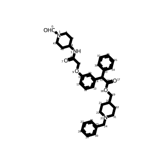 O=CN1CCC(NC(=O)COc2cccc(C(C(=O)OCC3CCN(Cc4ccccc4)CC3)c3ccccc3)c2)CC1